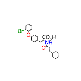 O=C(CCC1CCCCC1)NC(=Cc1ccc(Oc2ccccc2Br)cc1)C(=O)O